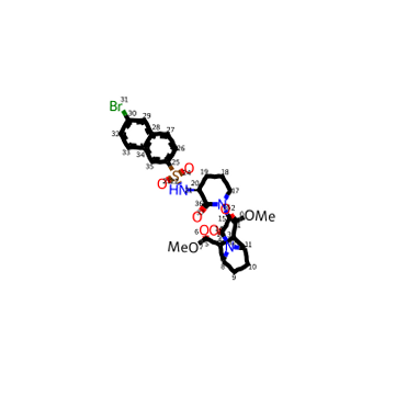 COC(=O)C1C(C(=O)OC)C2CCC1N2C(=O)CN1CCC[C@H](NS(=O)(=O)c2ccc3cc(Br)ccc3c2)C1=O